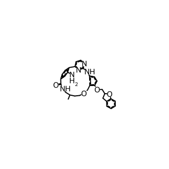 CC1CCOCc2cc(ccc2OCC2Cc3ccccc3O2)Nc2nccc(n2)-c2ccc(cc2N)C(=O)NC1